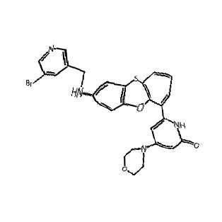 O=c1cc(N2CCOCC2)cc(-c2cccc3c2Oc2ccc(NCc4cncc(Br)c4)cc2S3)[nH]1